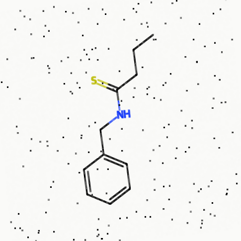 CCCC(=S)NCc1ccccc1